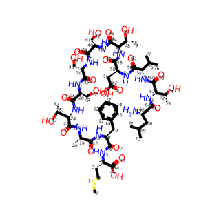 CSCC[C@H](NC(=O)[C@H](Cc1ccccc1)NC(=O)[C@H](C)NC(=O)[C@@H](NC(=O)[C@H](CO)NC(=O)[C@H](CO)NC(=O)[C@H](CO)NC(=O)[C@@H](NC(=O)[C@H](CC(=O)O)NC(=O)[C@@H](NC(=O)[C@@H](NC(=O)[C@@H](N)CC(C)C)[C@@H](C)O)C(C)C)[C@@H](C)O)[C@@H](C)O)C(=O)O